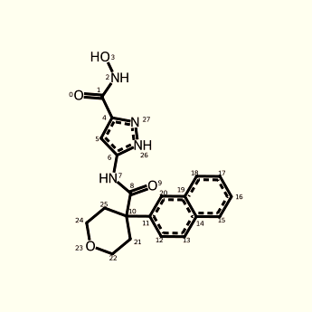 O=C(NO)c1cc(NC(=O)C2(c3ccc4ccccc4c3)CCOCC2)[nH]n1